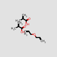 C=C(C)C(=O)O.C=C(C)C(=O)O.C=CCOCC=C